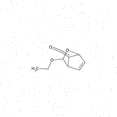 CCOC1OC2C=CC1C2=C=O